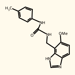 COc1ccc2nc[nH]c2c1CNC(=O)Nc1ccc(C)cc1